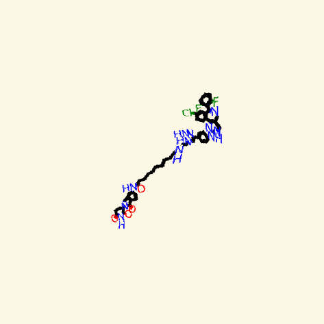 N=N/C(=C\NCCNCCCCCCCCCC(=O)Nc1ccc2c(c1)CN(C1CCC(=O)NC1=O)C2=O)c1ccc(Nc2ncc3c(n2)-c2ccc(Cl)cc2C(c2c(F)cccc2F)=NC3)cc1